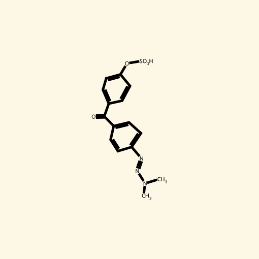 CN(C)/N=N/c1ccc(C(=O)c2ccc(OS(=O)(=O)O)cc2)cc1